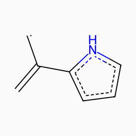 [CH2]C(=C)c1ccc[nH]1